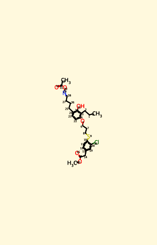 CCCc1c(OCCCSc2ccc(CC(=O)OC)cc2Cl)ccc(CCCC=NOC(C)=O)c1O